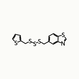 c1csc(CSSSCc2ccc3scnc3c2)c1